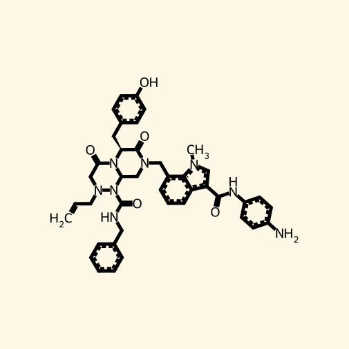 C=CCN1CC(=O)N2C(CN(Cc3cccc4c(C(=O)Nc5ccc(N)cc5)cn(C)c34)C(=O)[C@@H]2Cc2ccc(O)cc2)N1C(=O)NCc1ccccc1